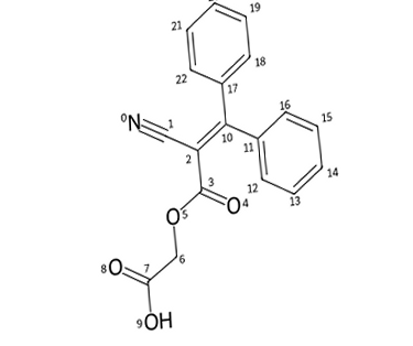 N#CC(C(=O)OCC(=O)O)=C(c1ccccc1)c1ccccc1